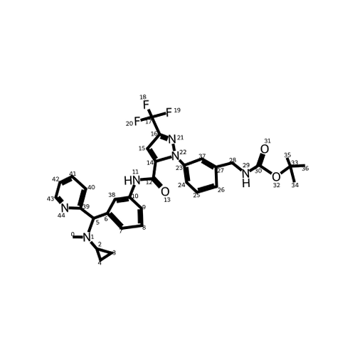 CN(C1CC1)C(c1cccc(NC(=O)c2cc(C(F)(F)F)nn2-c2cccc(CNC(=O)OC(C)(C)C)c2)c1)c1ccccn1